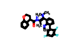 C=Nc1c(/C(=C(\C)NC(=O)C2CCOc3ccccc32)N(C)C)cccc1-c1cc(F)cc(F)c1F